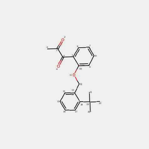 CC(=O)C(=O)c1ccccc1OCc1ccccc1C(C)(C)C